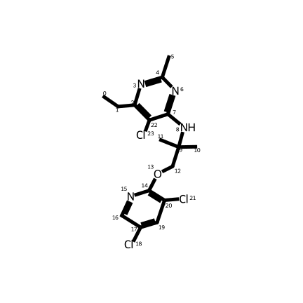 CCc1nc(C)nc(NC(C)(C)COc2ncc(Cl)cc2Cl)c1Cl